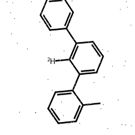 [2H]c1c(-c2ccccc2)cccc1-c1ccccc1C